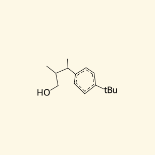 CC(CO)C(C)c1ccc(C(C)(C)C)cc1